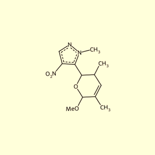 COC1OC(c2c([N+](=O)[O-])cnn2C)C(C)C=C1C